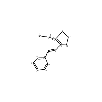 [Br][Mg][C]1=C(C=Cc2ccccc2)CCC1